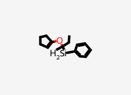 CCC(C)(OC1=CCCC1)[SiH2]c1ccccc1